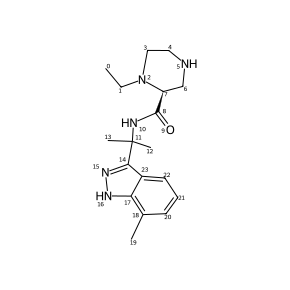 CCN1CCNC[C@H]1C(=O)NC(C)(C)c1n[nH]c2c(C)cccc12